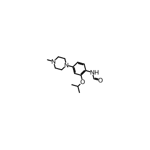 CC(C)Oc1cc(N2CCN(C)CC2)ccc1NC=O